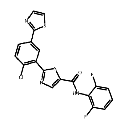 O=C(Nc1c(F)cccc1F)c1cnc(-c2cc(-c3nccs3)ccc2Cl)s1